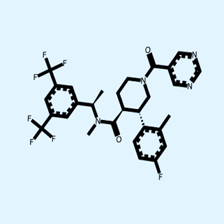 Cc1cc(F)ccc1[C@H]1CN(C(=O)c2cncnc2)CC[C@@H]1C(=O)N(C)[C@H](C)c1cc(C(F)(F)F)cc(C(F)(F)F)c1